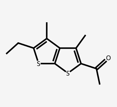 CCc1sc2sc(C(C)=O)c(C)c2c1C